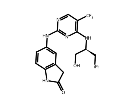 CC(C)C[C@@H](CO)Nc1nc(Nc2ccc3c(c2)CC(=O)N3)ncc1C(F)(F)F